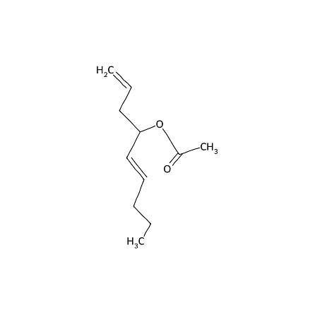 C=CCC(C=CCCC)OC(C)=O